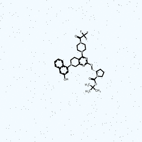 CC(C)(C)OC(=O)N1CCC[C@H]1COc1nc2c(c(N3CCN(C(=O)C(F)(F)F)CC3)n1)CCN(c1cc(O)cc3ccccc13)C2